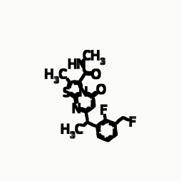 CNC(=O)c1c(C)sc2nc(C(C)c3cccc(CF)c3F)cc(=O)n12